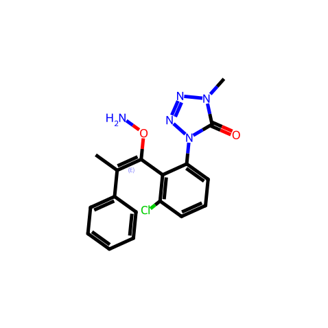 C/C(=C(\ON)c1c(Cl)cccc1-n1nnn(C)c1=O)c1ccccc1